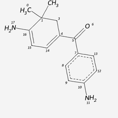 CC1(C)CC(C(=O)c2ccc(N)cc2)=CC=C1N